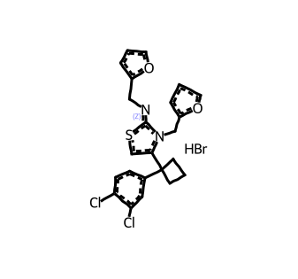 Br.Clc1ccc(C2(c3cs/c(=N\Cc4ccco4)n3Cc3ccco3)CCC2)cc1Cl